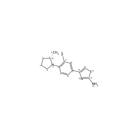 C[C@H]1CCCN1c1ccc(-c2csc(N)n2)cc1F